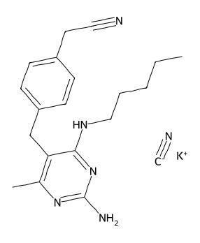 CCCCCNc1nc(N)nc(C)c1Cc1ccc(CC#N)cc1.[C-]#N.[K+]